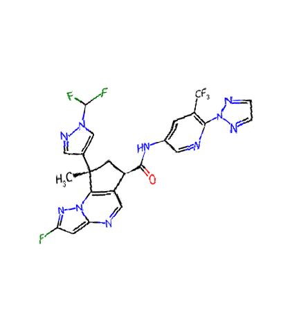 C[C@@]1(c2cnn(C(F)F)c2)C[C@@H](C(=O)Nc2cnc(-n3nccn3)c(C(F)(F)F)c2)c2cnc3cc(F)nn3c21